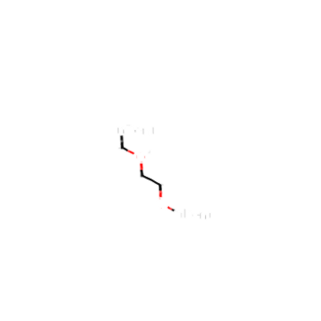 [CH2]CCCCOCCOCCCCCC